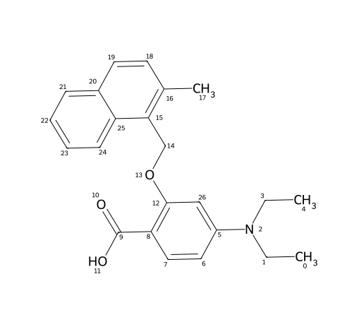 CCN(CC)c1ccc(C(=O)O)c(OCc2c(C)ccc3ccccc23)c1